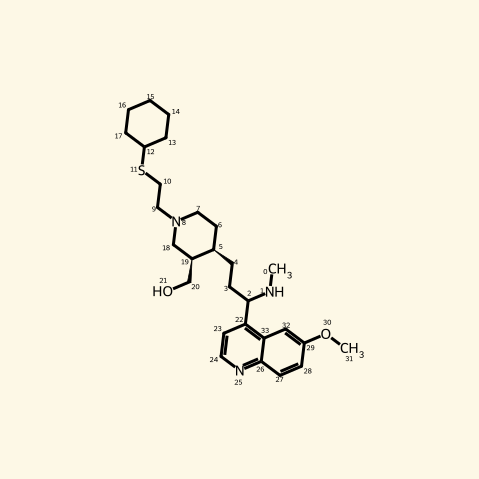 CNC(CC[C@@H]1CCN(CCSC2CCCCC2)C[C@@H]1CO)c1ccnc2ccc(OC)cc12